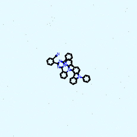 N#Cc1ccccc1-c1nc(-c2ccccc2)nc(-c2ccccc2-n2c3ncccc3c3ccc4c(c5ccccc5n4-c4ccccc4)c32)n1